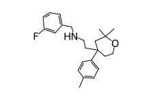 Cc1ccc(C2(CCNCc3cccc(F)c3)CCOC(C)(C)C2)cc1